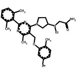 CCN(CC(N)=O)C1CCN(c2nc(-c3c(C)cccc3C)nc(C)c2COc2cc(C(C)C)ccc2C)C1